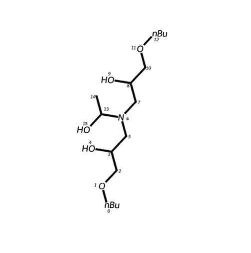 CCCCOCC(O)CN(CC(O)COCCCC)C(C)O